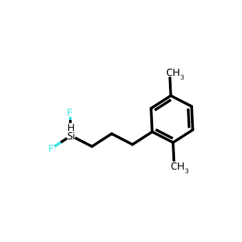 Cc1ccc(C)c(CCC[SiH](F)F)c1